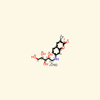 O=C[C@@H](Nc1ccc2cc(C(F)(F)F)c(=O)oc2c1)[C@H](O)[C@@H](O)[C@@H](O)CO